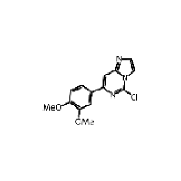 COc1ccc(-c2cc3nccn3c(Cl)n2)cc1OC